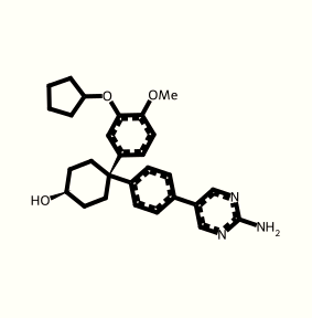 COc1ccc([C@]2(c3ccc(-c4cnc(N)nc4)cc3)CC[C@H](O)CC2)cc1OC1CCCC1